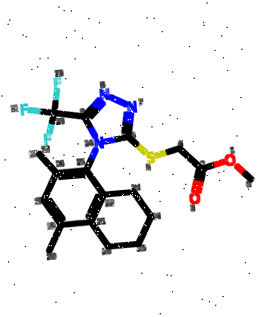 COC(=O)CSc1nnc(C(F)(F)F)n1-c1c(C)cc(C)c2c1CCCC2